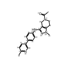 CC(=O)N1CCc2c(c(Nc3ccc(-c4ccc(C)nc4)cc3)nn2C)C1